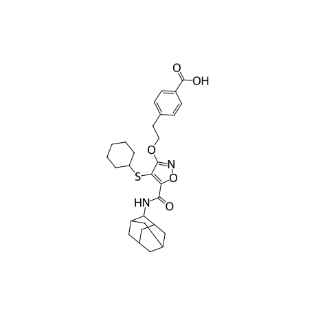 O=C(O)c1ccc(CCOc2noc(C(=O)NC3C4CC5CC(C4)CC3C5)c2SC2CCCCC2)cc1